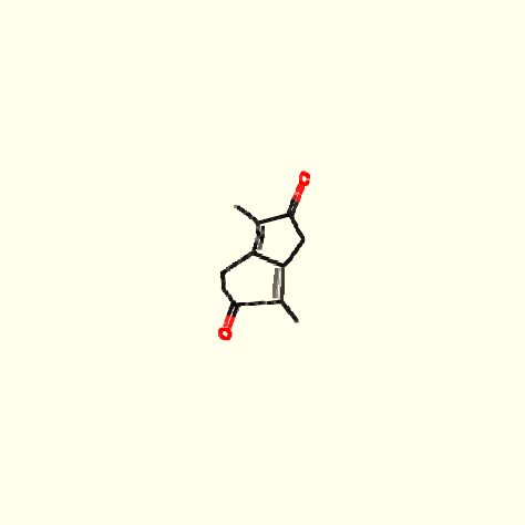 CC1=C2CC(=O)C(C)=C2CC1=O